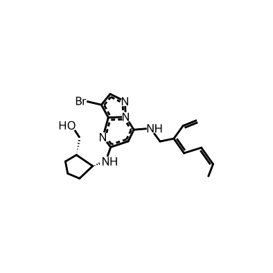 C=C/C(=C\C=C/C)CNc1cc(N[C@@H]2CCC[C@@H]2CO)nc2c(Br)cnn12